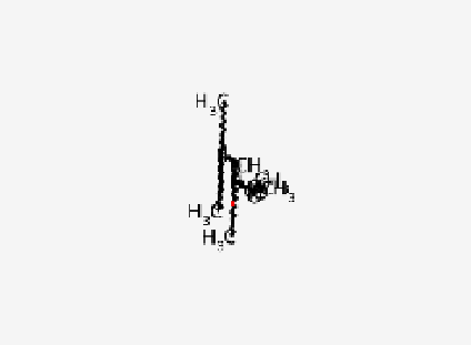 CCCCCCCCCCCCCN(CCCCCCCCCCCCC)CCCN(C)CCCN(CCCCCCCCCCCCC)CCCOP(=O)(OCC)OCC